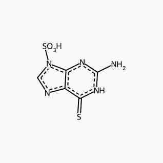 Nc1nc2c(ncn2S(=O)(=O)O)c(=S)[nH]1